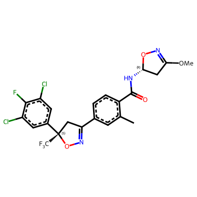 COC1=NO[C@@H](NC(=O)c2ccc(C3=NO[C@@](c4cc(Cl)c(F)c(Cl)c4)(C(F)(F)F)C3)cc2C)C1